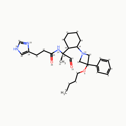 CCCCOC1(c2ccccc2)CN(C2CCCCC2[C@](C)(C=O)NC(=O)CCc2c[nH]cn2)C1